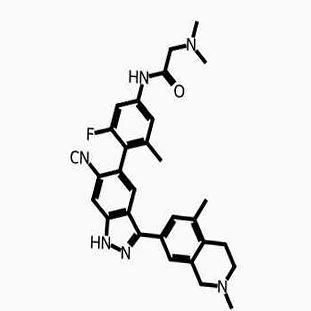 [C-]#[N+]c1cc2[nH]nc(-c3cc(C)c4c(c3)CN(C)CC4)c2cc1-c1c(C)cc(NC(=O)CN(C)C)cc1F